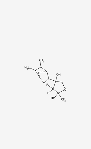 CC1C2CC(C1C)C(C1(O)COC(O)(C(F)(F)F)C1(F)F)C2